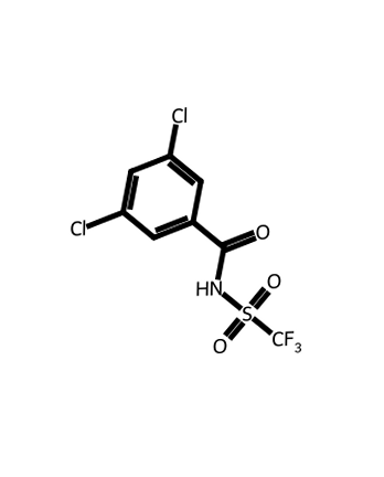 O=C(NS(=O)(=O)C(F)(F)F)c1cc(Cl)cc(Cl)c1